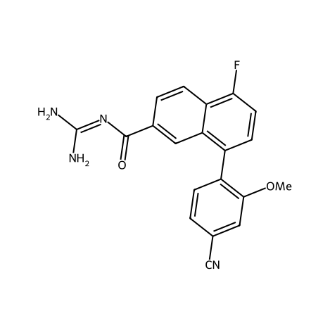 COc1cc(C#N)ccc1-c1ccc(F)c2ccc(C(=O)N=C(N)N)cc12